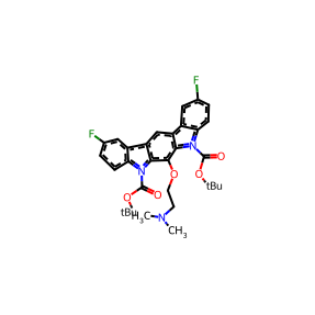 CN(C)CCOc1c2c(cc3c4cc(F)ccc4n(C(=O)OC(C)(C)C)c13)c1cc(F)ccc1n2C(=O)OC(C)(C)C